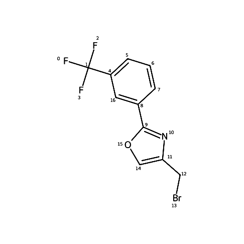 FC(F)(F)c1cccc(-c2nc(CBr)co2)c1